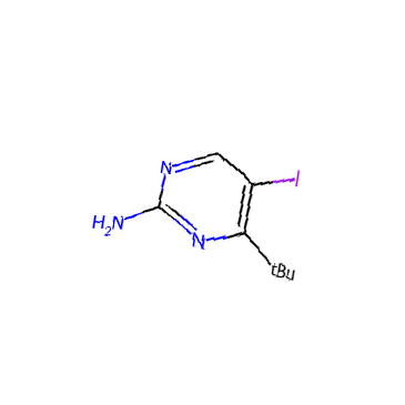 CC(C)(C)c1nc(N)ncc1I